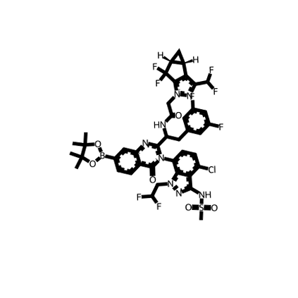 CC1(C)OB(c2ccc3c(=O)n(-c4ccc(Cl)c5c(NS(C)(=O)=O)nn(CC(F)F)c45)c(C(Cc4cc(F)cc(F)c4)NC(=O)Cn4nc(C(F)F)c5c4C(F)(F)[C@@H]4C[C@H]54)nc3c2)OC1(C)C